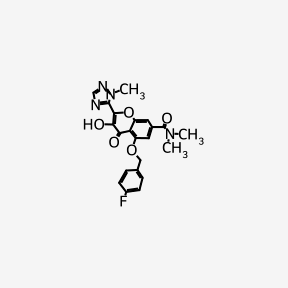 CN(C)C(=O)c1cc(OCc2ccc(F)cc2)c2c(=O)c(O)c(-c3ncnn3C)oc2c1